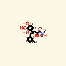 Cc1cccc(C[C@@](O)(CC(=O)C(=O)N(C)O)c2ccc(O)c(O)c2O)c1